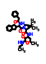 C=CCNC(=O)C(=O)C(CCC)NC(=O)C1C2C(CN1C(=O)C(NC(=O)Cc1ccccc1)C1Cc3ccccc3C1)C2(C)C